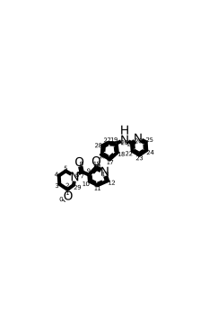 COC1CCCN(C(=O)c2cccnc2Oc2ccc(Nc3ccccn3)cc2)C1